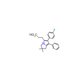 CC1(C)Cc2c(-c3ccccc3)c(-c3ccc(F)cc3)c(CCC(=O)O)n2C1